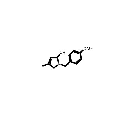 COc1ccc(CN2CC(C)=CC2O)cc1